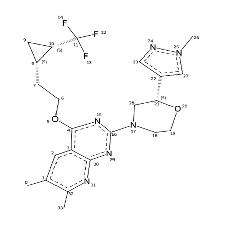 Cc1cc2c(OCC[C@@H]3C[C@@H]3C(F)(F)F)nc(N3CCO[C@@H](c4cnn(C)c4)C3)nc2nc1C